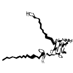 CCCCCCCCCCCCCC(=O)NCCCC[C@@H](C(=O)N(C)CCN)N(NC(=N)N)C(=O)CCCCCCCCCCCCC.Cl